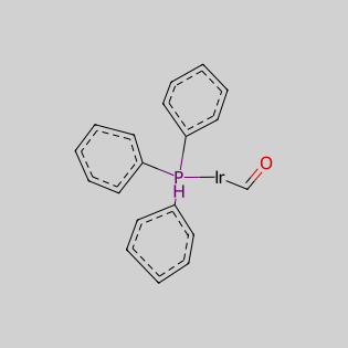 O=[CH][Ir][PH](c1ccccc1)(c1ccccc1)c1ccccc1